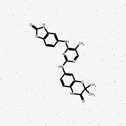 Cc1cnc(Nc2ccc3c(c2)OC(C)(C)C(=O)N3)nc1Nc1ccc2oc(=O)[nH]c2c1